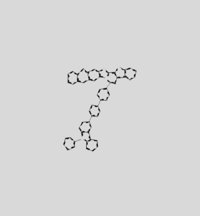 c1ccc(-n2c3ccccc3c3cc(-c4ccc(-c5ccc(-c6cc7c8ccccc8sc7c7nc8cc9cc%10ccccc%10cc9cc8n67)cc5)cc4)ccc32)cc1